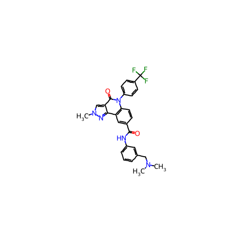 CN(C)Cc1cccc(NC(=O)c2ccc3c(c2)c2nn(C)cc2c(=O)n3-c2ccc(C(F)(F)F)cc2)c1